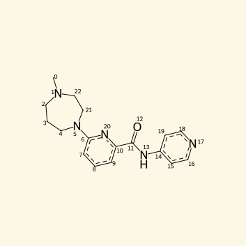 CN1CCCN(c2cccc(C(=O)Nc3ccncc3)n2)CC1